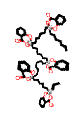 CCCCCCC[Si]1(CCCCCC[Si]2(CCCCCC[Si]3(CCCCCC[Si]4(CCCCCC[Si]5(CCC)OC(=O)c6ccccc6O5)OC(=O)c5ccccc5O4)OC(=O)c4ccccc4O3)OC(=O)c3ccccc3O2)OC(=O)c2ccccc2O1